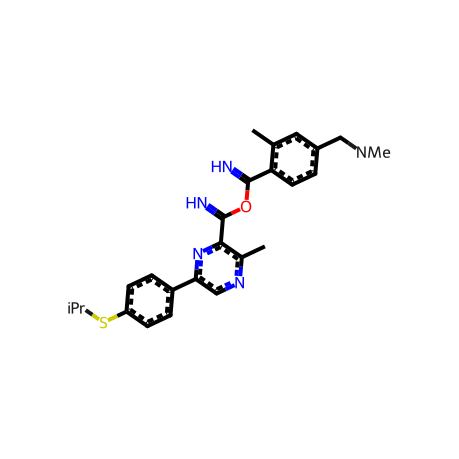 CNCc1ccc(C(=N)OC(=N)c2nc(-c3ccc(SC(C)C)cc3)cnc2C)c(C)c1